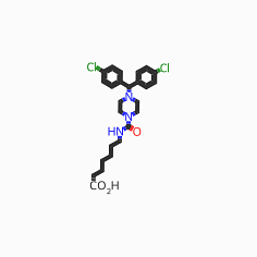 O=C(O)CCCCCCNC(=O)N1CCN(C(c2ccc(Cl)cc2)c2ccc(Cl)cc2)CC1